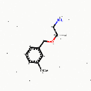 COc1cccc(CO[C@@H](C)CN)c1